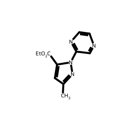 CCOC(=O)c1cc(C)nn1-c1cnccn1